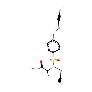 C#CCN(C(C(=O)NO)C(C)C)S(=O)(=O)c1ccc(OCC#CC)cc1